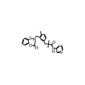 CC[C@@H]1CN(Cc2cc(CC(C)(C)C(=O)Nc3cccnc3)ccc2C)Sc2ccccc2O1